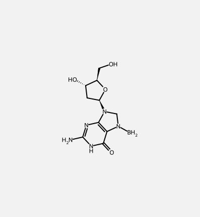 BN1CN([C@H]2C[C@H](O)[C@@H](CO)O2)c2nc(N)[nH]c(=O)c21